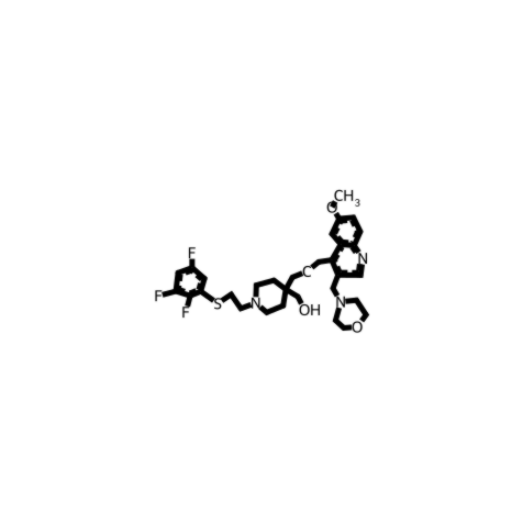 COc1ccc2ncc(CN3CCOCC3)c(CCCC3(CO)CCN(CCSc4cc(F)cc(F)c4F)CC3)c2c1